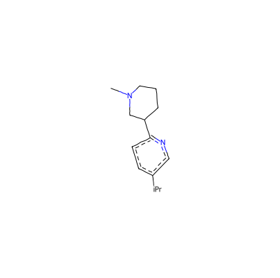 CC(C)c1ccc(C2CCCN(C)C2)nc1